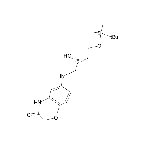 CC(C)(C)[Si](C)(C)OCC[C@@H](O)CNc1ccc2c(c1)NC(=O)CO2